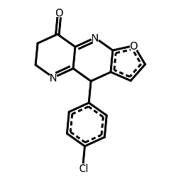 O=C1CCN=C2C1=Nc1occc1C2c1ccc(Cl)cc1